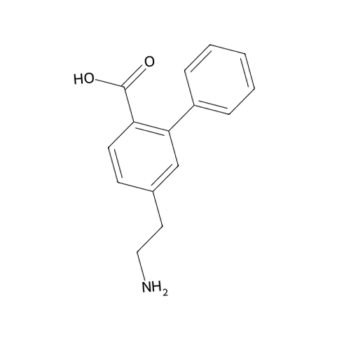 NCCc1ccc(C(=O)O)c(-c2ccccc2)c1